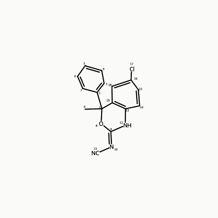 CC1(c2ccccc2)O/C(=N\C#N)Nc2ccc(Cl)cc21